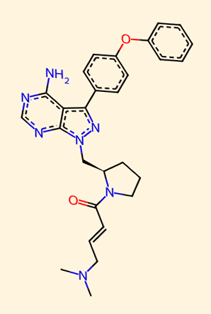 CN(C)CC=CC(=O)N1CCC[C@@H]1Cn1nc(-c2ccc(Oc3ccccc3)cc2)c2c(N)ncnc21